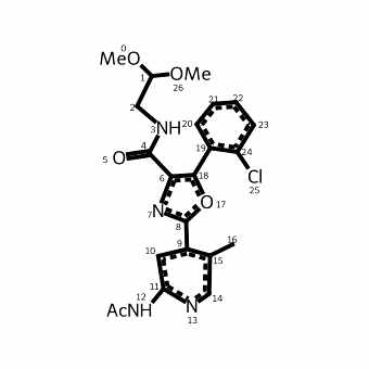 COC(CNC(=O)c1nc(-c2cc(NC(C)=O)ncc2C)oc1-c1ccccc1Cl)OC